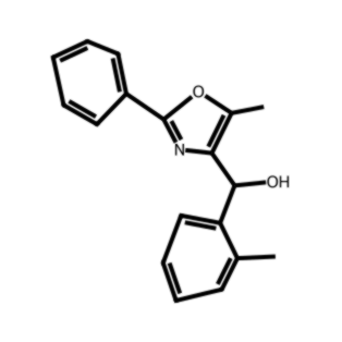 Cc1ccccc1C(O)c1nc(-c2ccccc2)oc1C